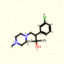 CCCC(O)(CCC)C(CN1CCN(C)CC1)c1cccc(Br)c1